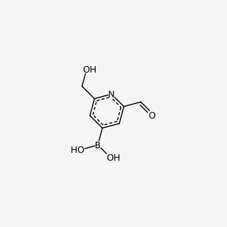 O=Cc1cc(B(O)O)cc(CO)n1